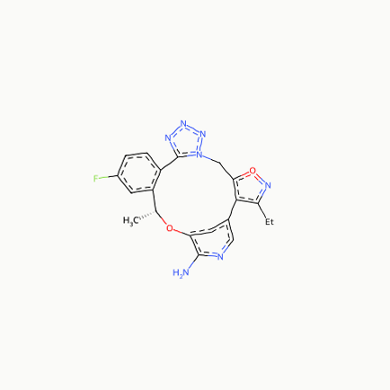 CCc1noc2c1-c1cnc(N)c(c1)O[C@H](C)c1cc(F)ccc1-c1nnnn1C2